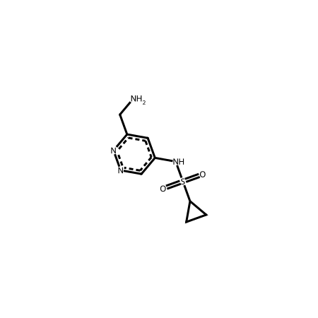 NCc1cc(NS(=O)(=O)C2CC2)cnn1